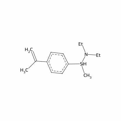 C=C(C)c1ccc([SiH](C)N(CC)CC)cc1